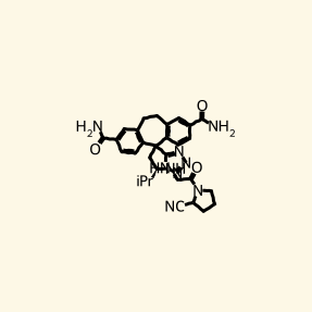 CC(C)[C@@H](CC1(c2nnn[nH]2)c2ccc(C(N)=O)cc2CCc2cc(C(N)=O)ccc21)NCC(=O)N1CCCC1C#N